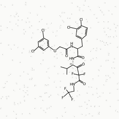 CC(C)[C@H](NC(=O)C(Cc1ccc(Cl)c(Cl)c1)NC(=O)COc1cc(Cl)cc(Cl)c1)C(=O)C(F)(F)C(=O)NCC(F)(F)F